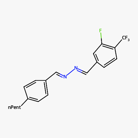 CCCCCc1ccc(/C=N/N=C/c2ccc(C(F)(F)F)c(F)c2)cc1